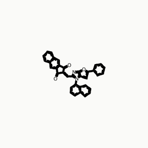 O=C1C(=Cc2nc3oc(-c4ccccc4)cc3n2-c2cccc3ccccc23)C(=O)c2cc3ccccc3cc21